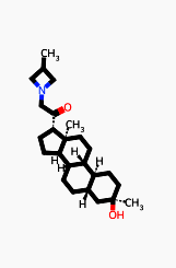 CC1CN(CC(=O)[C@H]2CC[C@H]3[C@@H]4CC[C@H]5C[C@](C)(O)CC[C@@H]5[C@H]4CC[C@]23C)C1